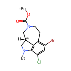 CCN1C[C@@H]2CN(C(=O)OC(C)(C)C)CCc3c(Br)cc(Cl)c1c32